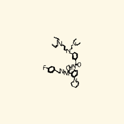 CCN(CC)CCN(CCN(CC)CC)Cc1cccc(C(=O)Nc2ccc(N3CCCCC3)cc2C(=O)N/N=C/c2ccc(F)cc2)c1